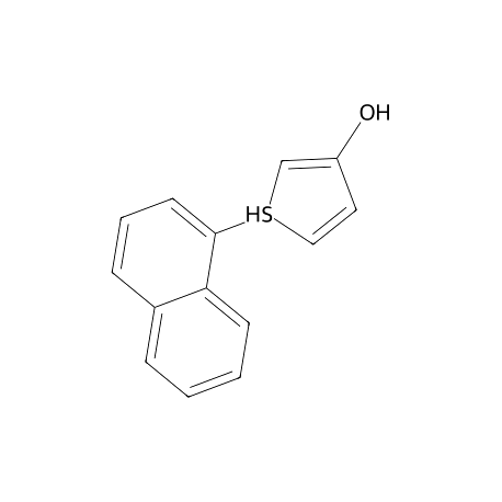 OC1=C[SH](c2cccc3ccccc23)C=C1